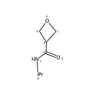 CC(C)NC(=O)C1COC1